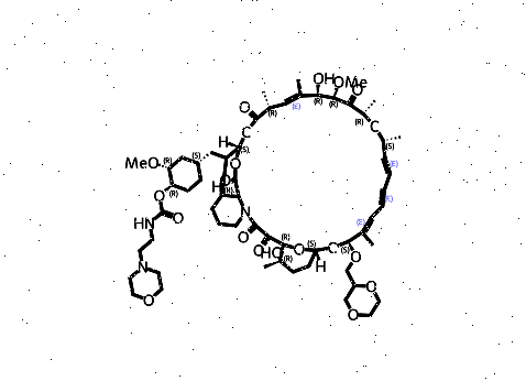 CO[C@@H]1C[C@H](CC2[C@H]3CCCN4C(=O)C(=O)[C@]5(O)O[C@@H](CC[C@H]5C)C[C@H](OCC5COCCO5)/C(C)=C/C=C/C=C/[C@@H](C)C[C@@H](C)C(=O)[C@H](OC)[C@H](O)/C(C)=C/[C@@H](C)C(=O)C[C@@H]2OC(=O)C34)CC[C@H]1OC(=O)NCCN1CCOCC1